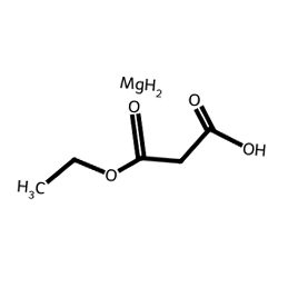 CCOC(=O)CC(=O)O.[MgH2]